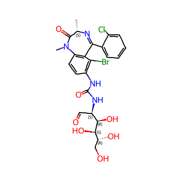 C[C@@H]1N=C(c2ccccc2Cl)c2c(ccc(NC(=O)N[C@H](C=O)[C@@H](O)[C@H](O)[C@H](O)CO)c2Br)N(C)C1=O